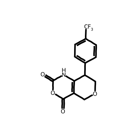 O=c1[nH]c2c(c(=O)o1)COCC2c1ccc(C(F)(F)F)cc1